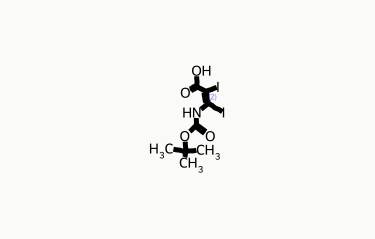 CC(C)(C)OC(=O)N/C(I)=C(/I)C(=O)O